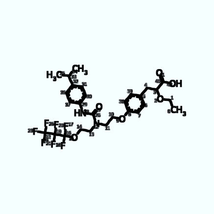 CCOC(Cc1ccc(OCCN(CCOC(F)(F)C(F)(F)C(F)(F)F)C(=O)Nc2ccc(C(C)C)cc2)cc1)C(=O)O